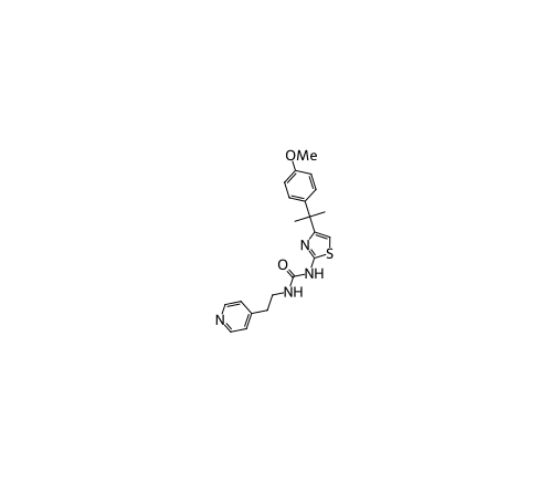 COc1ccc(C(C)(C)c2csc(NC(=O)NCCc3ccncc3)n2)cc1